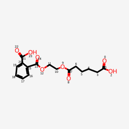 O=C(O)CCCCC(=O)OCCOC(=O)c1ccccc1C(=O)O